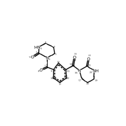 O=C1NCCCN1C(=O)c1cccc(C(=O)N2CCCNC2=O)c1